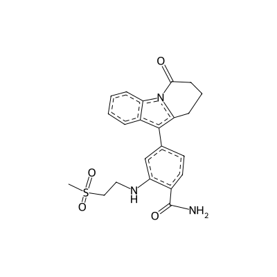 CS(=O)(=O)CCNc1cc(-c2c3n(c4ccccc24)C(=O)CCC3)ccc1C(N)=O